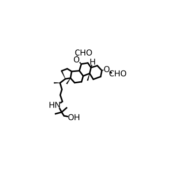 C[C@H](CCCNC(C)(C)CO)[C@H]1CCC2C3C(CC[C@@]21C)[C@@]1(C)CC[C@@H](OC=O)C[C@H]1C[C@@H]3OC=O